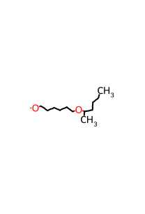 CCCCC(C)OCCCCCC[O]